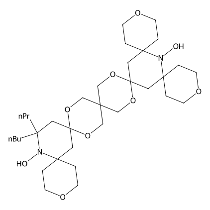 CCCCC1(CCC)CC2(CC3(CCOCC3)N1O)OCC1(CO2)COC2(CC3(CCOCC3)N(O)C3(CCOCC3)C2)OC1